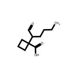 CCCCC(C=O)C1(C(=O)O)CCC1